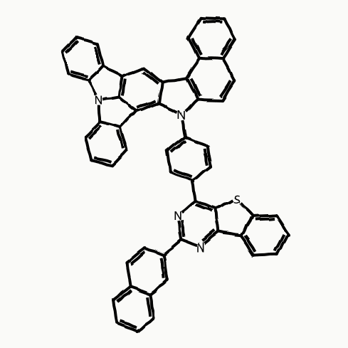 c1ccc2cc(-c3nc(-c4ccc(-n5c6ccc7ccccc7c6c6cc7c8ccccc8n8c9ccccc9c(c65)c78)cc4)c4sc5ccccc5c4n3)ccc2c1